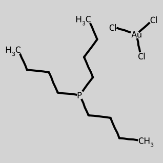 CCCCP(CCCC)CCCC.[Cl][Au]([Cl])[Cl]